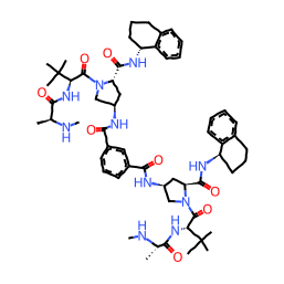 CN[C@@H](C)C(=O)N[C@H](C(=O)N1C[C@H](NC(=O)c2cccc(C(=O)N[C@H]3C[C@@H](C(=O)N[C@@H]4CCCc5ccccc54)N(C(=O)[C@@H](NC(=O)[C@H](C)NC)C(C)(C)C)C3)c2)C[C@H]1C(=O)N[C@@H]1CCCc2ccccc21)C(C)(C)C